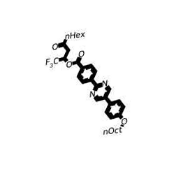 CCCCCCCCOc1ccc(-c2cnc(-c3ccc(C(=O)OC(CC(=O)CCCCCC)C(F)(F)F)cc3)nc2)cc1